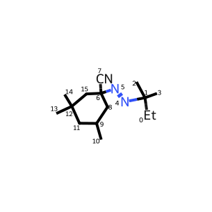 CCC(C)(C)N=NC1(C#N)CC(C)CC(C)(C)C1